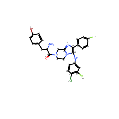 N[C@H](Cc1ccc(Br)cc1)C(=O)N1CCn2c(nc(-c3ccc(F)cc3)c2Nc2ccc(Cl)c(F)c2)C1